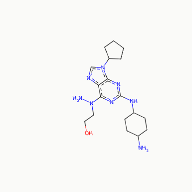 NC1CCC(Nc2nc(N(N)CCO)c3ncn(C4CCCC4)c3n2)CC1